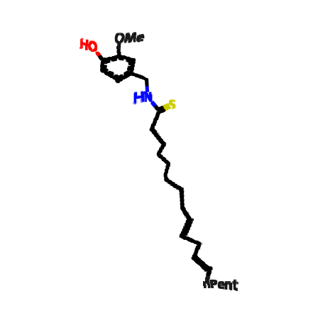 CCCCCC=CCC=CCCCCCCCC(=S)NCc1ccc(O)c(OC)c1